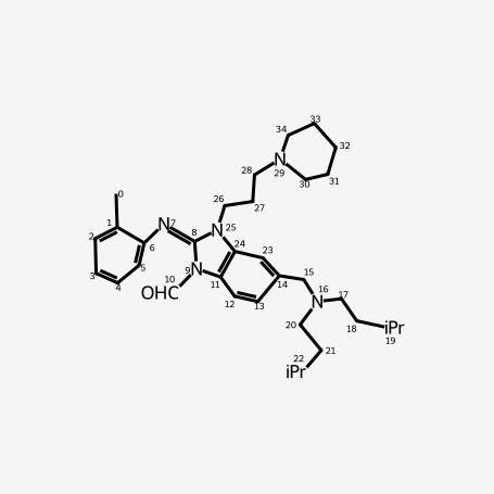 Cc1ccccc1/N=c1\n(C=O)c2ccc(CN(CCC(C)C)CCC(C)C)cc2n1CCCN1CCCCC1